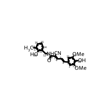 COc1cc(/C=C/C=C(\C#N)C(=O)NCc2cccc(C)c2O)cc(OC)c1O